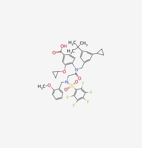 COc1ccccc1CN(CC(=O)N(Cc1cc(C2CC2)cc(C(C)(C)C)c1)c1ccc(C(=O)O)cc1OC1CC1)S(=O)(=O)c1c(F)c(F)c(F)c(F)c1F